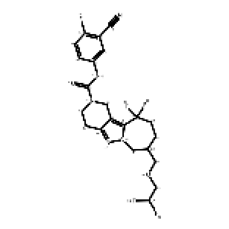 N#Cc1cc(NC(=O)N2CCc3nn4c(c3C2)C(F)(F)CCC(COCC(F)F)C4)ccc1F